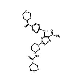 NC(=O)c1nnc(N2CCC[C@@H](NC(=O)N3CCOCC3)C2)nc1Nc1ccc(C(=O)N2CCOCC2)cc1